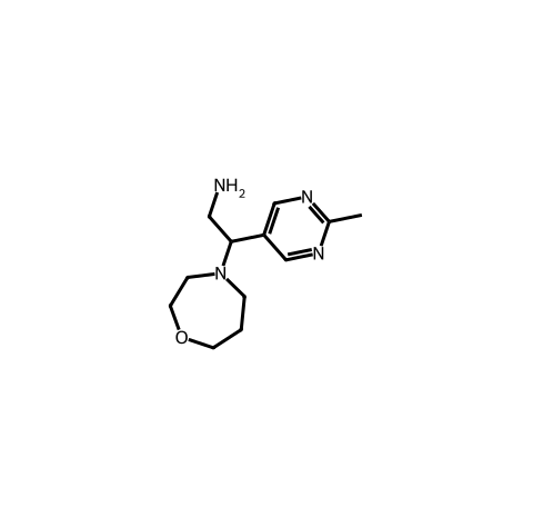 Cc1ncc(C(CN)N2CCCOCC2)cn1